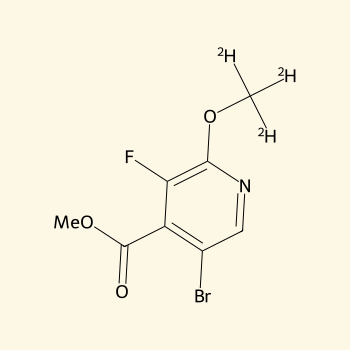 [2H]C([2H])([2H])Oc1ncc(Br)c(C(=O)OC)c1F